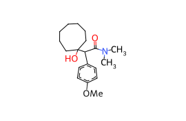 COc1ccc(C(C(=O)N(C)C)C2(O)CCCCCCC2)cc1